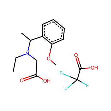 CCN(CC(=O)O)C(C)c1ccccc1OC.O=C(O)C(F)(F)F